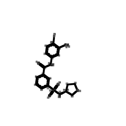 Cc1cc(NC(=O)c2cccc(S(=O)(=O)N[C@H]3CCOC3)c2)ccc1F